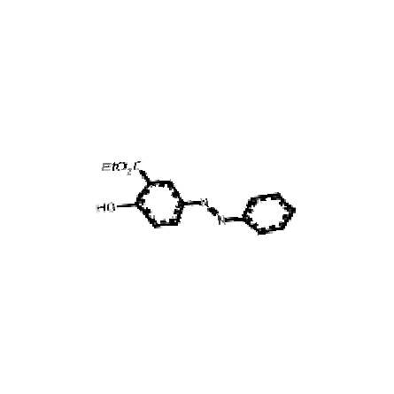 CCOC(=O)c1cc(/N=N/c2ccccc2)ccc1O